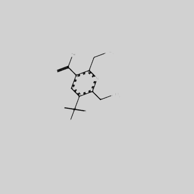 CCc1nc(CC)c(C(F)(F)F)cc1C(N)=S